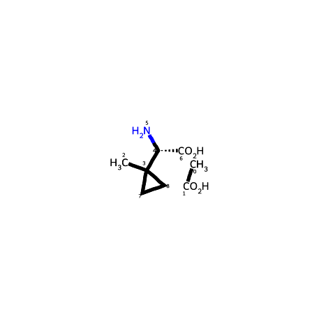 CC(=O)O.CC1([C@H](N)C(=O)O)CC1